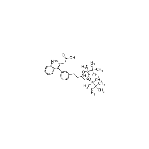 CC(C)(C)[Si](C)(C)OCC(CCc1cccc(-c2c(CC(=O)O)cnc3ccccc23)c1)O[Si](C)(C)C(C)(C)C